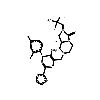 CCOC(=O)C1=C(CN2CCN3C(=S)N(CC(C)(C)C(=O)O)C[C@@H]3C2)NC(c2nccs2)=N[C@H]1c1ccc(C)cc1F